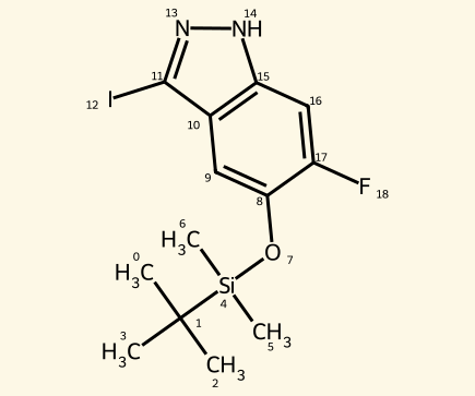 CC(C)(C)[Si](C)(C)Oc1cc2c(I)n[nH]c2cc1F